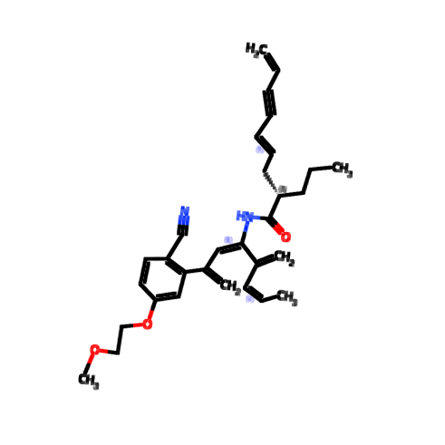 C=CC#C/C=C/C[C@H](CCC)C(=O)N/C(=C/C(=C)c1cc(OCCOC)ccc1C#N)C(=C)/C=C\C